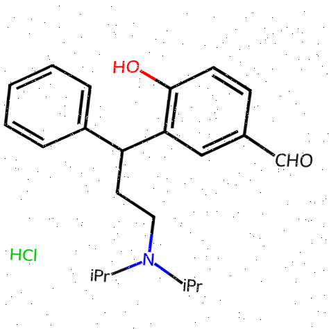 CC(C)N(CCC(c1ccccc1)c1cc(C=O)ccc1O)C(C)C.Cl